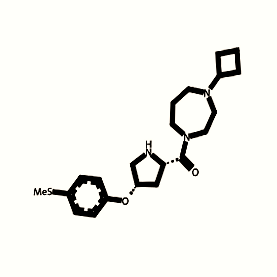 CSc1ccc(O[C@@H]2CN[C@H](C(=O)N3CCCN(C4CCC4)CC3)C2)cc1